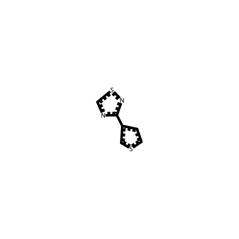 c1cc(-c2ncsn2)cs1